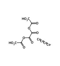 O=C(O)C(=O)OC(=O)C(=O)OC(=O)C(=O)O.[Co].[Co].[Co].[Co]